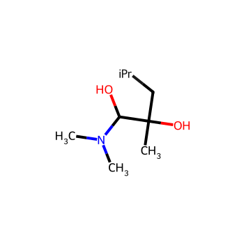 CC(C)CC(C)(O)C(O)N(C)C